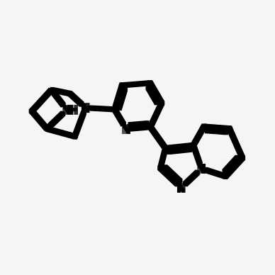 c1cc(-c2cnn3ccccc23)nc(N2CC3CC(C2)N3)c1